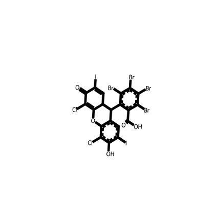 O=C1C(I)=CC2C(=C1Cl)Oc1c(cc(I)c(O)c1Cl)C2c1c(Br)c(Br)c(Br)c(Br)c1C(=O)O